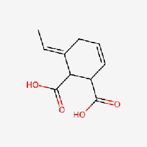 CC=C1CC=CC(C(=O)O)C1C(=O)O